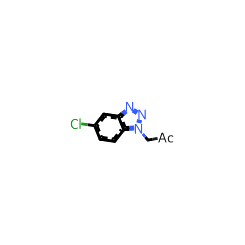 CC(=O)Cn1nnc2cc(Cl)ccc21